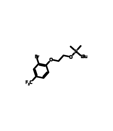 CC(C)(C)[Si](C)(C)OCCOc1ccc(C(F)(F)F)cc1Br